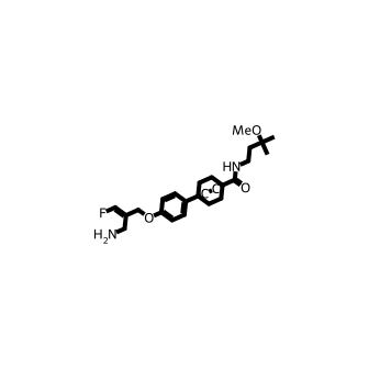 COC(C)(C)CCNC(=O)C12CCC(c3ccc(OCC(=CF)CN)cc3)(CC1)CC2